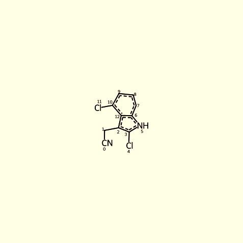 N#CCc1c(Cl)[nH]c2cccc(Cl)c12